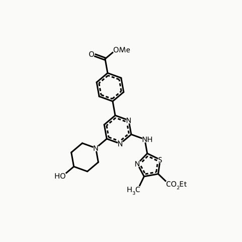 CCOC(=O)c1sc(Nc2nc(-c3ccc(C(=O)OC)cc3)cc(N3CCC(O)CC3)n2)nc1C